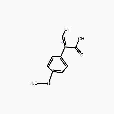 COc1ccc(/C(=C/O)C(=O)O)cc1